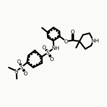 Cc1ccc(OC(=O)C2(C)CCNCC2)c(NS(=O)(=O)c2ccc(S(=O)(=O)N(C)C)cc2)c1